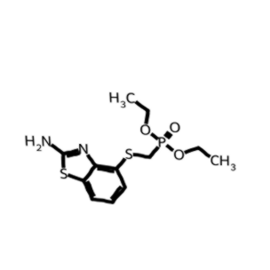 CCOP(=O)(CSc1cccc2sc(N)nc12)OCC